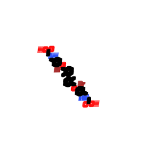 Cc1c(COc2ccc(CNCC(=O)O)cc2Br)cccc1-c1cccc(COc2ccc(CNCC(=O)O)cc2Br)c1C